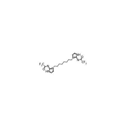 O=C(/N=c1\[nH]ccn1CCCCCCCCn1cc[nH]/c1=N\C(=O)C(F)(F)F)C(F)(F)F